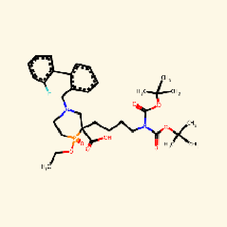 CCOP1(=O)CCN(Cc2ccccc2-c2ccccc2F)CC1(CCCCN(C(=O)OC(C)(C)C)C(=O)OC(C)(C)C)C(=O)O